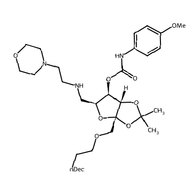 CCCCCCCCCCCCOC[C@@]12O[C@@H](CNCCN3CCOCC3)[C@@H](OC(=O)Nc3ccc(OC)cc3)[C@@H]1OC(C)(C)O2